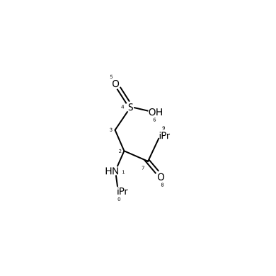 CC(C)NC(CS(=O)O)C(=O)C(C)C